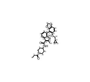 CCC(=O)N1CCC(NC(=O)c2c(C)[nH]c3c(-c4c(OCC5CC5)ccc5c4OCO5)ccnc23)CC1